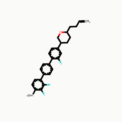 C=CCCC1CCC(c2ccc(-c3ccc(-c4ccc(CCCCCCCCCC)c(F)c4F)cc3)c(F)c2)CO1